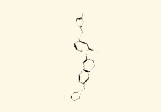 Cc1csc(COc2ccn(C3=Cc4ccc(CN5CC[C@H](F)C5)cc4CC3)c(=O)c2)n1